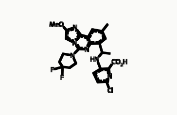 COc1cn2c(N3CCC(F)(F)CC3)nc3c(C(C)Nc4ccc(Cl)nc4C(=O)O)cc(C)cc3c2n1